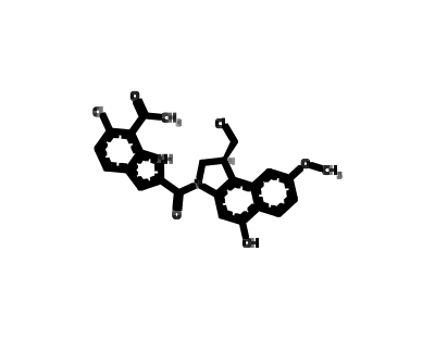 COc1ccc2c(O)cc3c(c2c1)[C@H](CCl)CN3C(=O)c1cc2ccc(Cl)c(C(C)=O)c2[nH]1